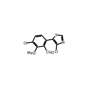 COc1c(Cl)ccc(-c2scnc2Cl)c1C=O